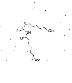 CCCCCCCCCCCCC/C=C/[C@@H](C)[C@H](CC)NC(=O)CCCCCCCCCCCCCCC